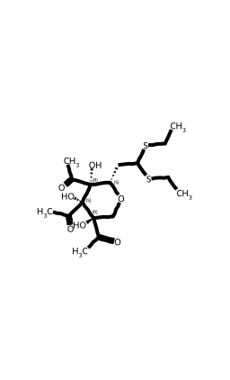 CCSC(C[C@@H]1OC[C@](O)(C(C)=O)[C@@](O)(C(C)=O)[C@@]1(O)C(C)=O)SCC